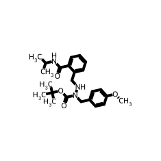 COc1ccc(CN(NCc2ccccc2C(=O)NC(C)C)C(=O)OC(C)(C)C)cc1